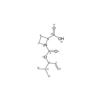 C=CC(OC(=O)N1CCC1C(=O)O)C(C)C